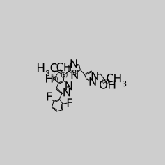 C[C@H](O)Cn1cc(-c2cncc([C@@]34CC[C@@H](c5cc(-c6c(F)cccc6F)nnc53)C4(C)C)n2)cn1